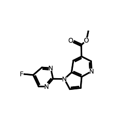 COC(=O)c1cnc2ccn(-c3ncc(F)cn3)c2c1